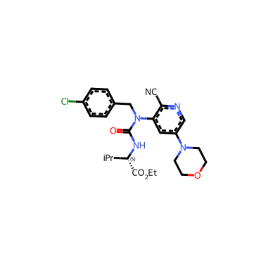 CCOC(=O)[C@@H](NC(=O)N(Cc1ccc(Cl)cc1)c1cc(N2CCOCC2)cnc1C#N)C(C)C